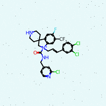 O=C(NCc1ccnc(Cl)c1)[N+]1(C/C=C/c2ccc(Cl)c(Cl)c2)CC2(CCNCC2)c2cc(F)c(C(F)(F)F)cc21